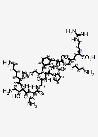 N=C(N)NCC/C=C(\CCC(=O)[C@H](CCCCN)NC(=O)[C@H](Cc1cccc(F)c1)NC(=O)[C@@H]1CCCN1C(=O)[C@@H](CCCN)NC(=O)CNC(=O)[C@H](CCN)NC(=O)[C@@H](NC(=O)[C@@H](N)CCCCN)[C@@H](O)CN)C(=O)O